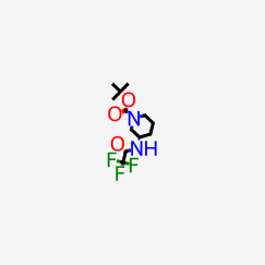 CC(C)(C)OC(=O)N1CCC[C@H](NC(=O)C(F)(F)F)C1